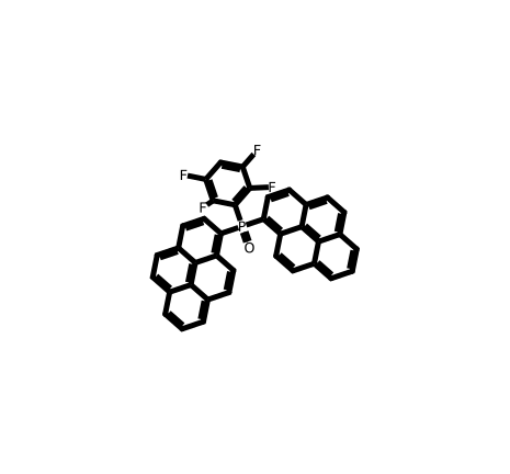 O=P(c1c(F)c(F)cc(F)c1F)(c1ccc2ccc3cccc4ccc1c2c34)c1ccc2ccc3cccc4ccc1c2c34